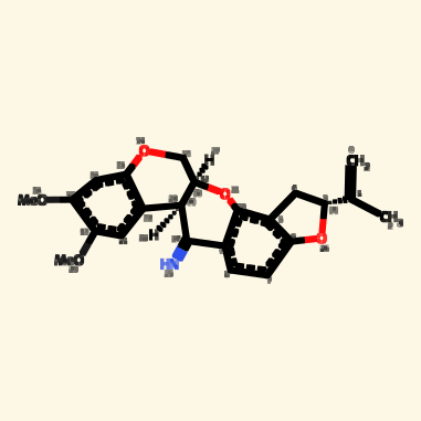 C=C(C)[C@H]1Cc2c(ccc3c2O[C@@H]2COc4cc(OC)c(OC)cc4[C@@H]2C3=N)O1